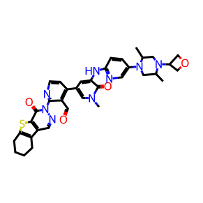 CC1CN(C2COC2)C(C)CN1c1ccc(Nc2cc(-c3ccnc(-n4ncc5c6c(sc5c4=O)CCCC6)c3C=O)cn(C)c2=O)nc1